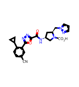 N#Cc1ccc(C2CC2)c(-c2nnc(C(=O)N[C@@H]3C[C@@H](Cn4cccn4)N(C(=O)O)C3)o2)c1